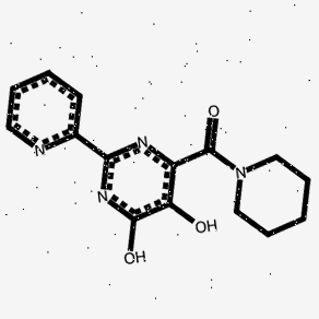 O=C(c1nc(-c2ccccn2)nc(O)c1O)N1CCCCC1